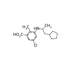 Cc1c(NC(C)CC2CCCC2)cc(Cl)cc1C(=O)O